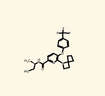 C[C@H](CO)NC(=O)c1ccc(Oc2ccc(C(F)(F)F)cc2)c(N2CCC23CCC3)n1